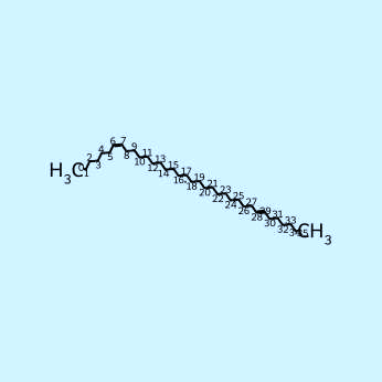 CCCCCC/C=C\CCCCCCCCCC[CH]CCCCCCCCC/C=C/CCCCCC